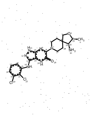 C[C@@H]1OCC2(CCN(c3nc4[nH]nc(Nc5cccc(Cl)c5Cl)c4[nH]c3=O)CC2)[C@@H]1N